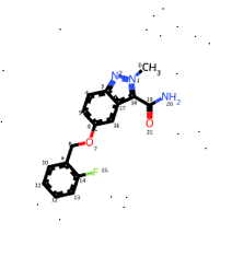 Cn1nc2ccc(OCc3ccccc3F)cc2c1C(N)=O